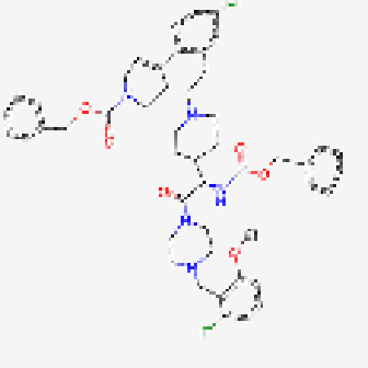 CCOc1cccc(F)c1CN1CCN(C(=O)[C@H](NC(=O)OCc2ccccc2)C2CCN(CCc3cc(Cl)ccc3C3=CCN(C(=O)OCc4ccccc4)CC3)CC2)CC1